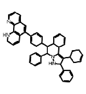 C1=CC2C3=C(C4CC=CCC4)C(c4ccccc4)NN3C(c3ccccc3)C(C3C=CC(c4cc5cccnc5c5c4C=CCN5)=CC3)C2C=C1